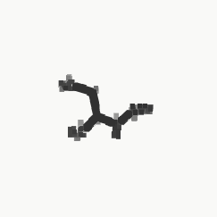 CNNC(C)CC#N